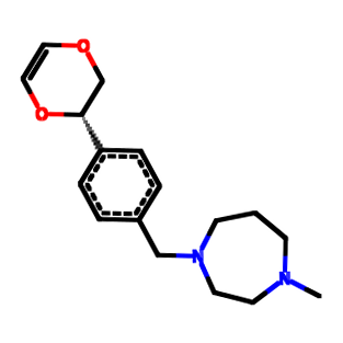 CN1CCCN(Cc2ccc([C@H]3COC=CO3)cc2)CC1